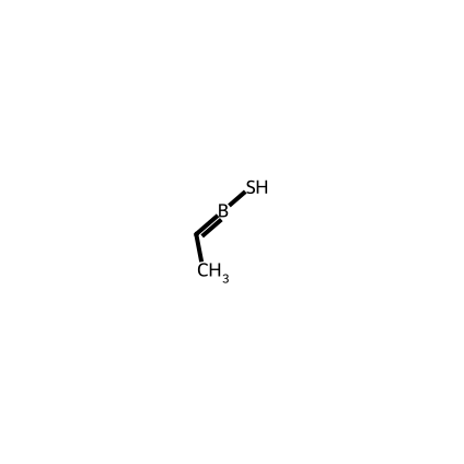 C/C=B/S